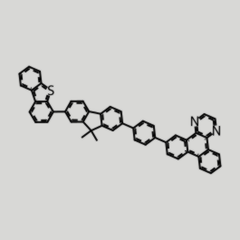 CC1(C)c2cc(-c3ccc(-c4ccc5c6ccccc6c6nccnc6c5c4)cc3)ccc2-c2ccc(-c3cccc4c3sc3ccccc34)cc21